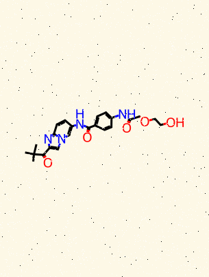 CC(C)(C)C(=O)c1cn2cc(NC(=O)c3ccc(NC(=O)COCCO)cc3)ccc2n1